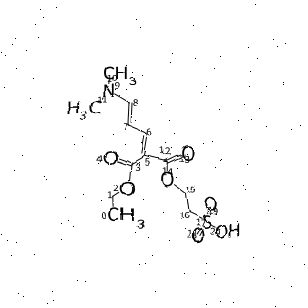 CCOC(=O)/C(=C\C=C\N(C)C)C(=O)OCCS(=O)(=O)O